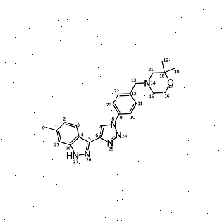 Cc1ccc2c(-c3cn(-c4ccc(CN5CCOC(C)(C)C5)cc4)nn3)n[nH]c2c1